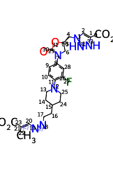 CCOC(=O)C1=CN(C[C@H]2CN(c3ccc(N4CCC(CC/N=N\C=C(/C)C(=O)OCC)CC4)c(F)c3)C(=O)O2)NN1